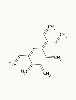 C=CC(=C)/C(C=C)=C\C(C=C)=C(C=C)C=C